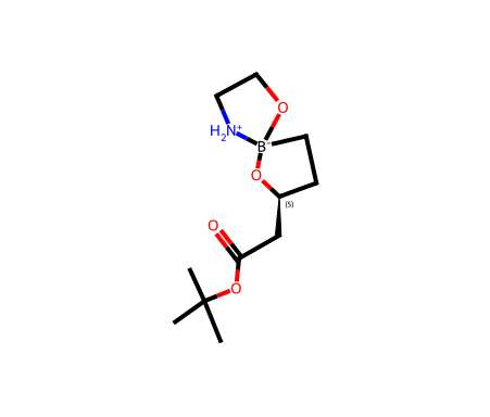 CC(C)(C)OC(=O)C[C@@H]1CC[B-]2([NH2+]CCO2)O1